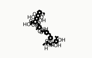 CCNC(=O)c1nnc(-c2cc(C(C)C)c(O)cc2O)n1-c1ccc(Cc2ccc(C(=O)NC3CC(O[C@H]4C[C@](O)(C(=O)CO)Cc5c(O)c6c(c(O)c54)C(=O)c4c(OC)cccc4C6=O)OC(C)C3O)cc2)cc1